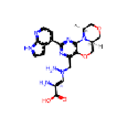 C[C@@H]1COC[C@H]2COc3c(CN(N)/C=C(\N)C(=O)O)nc(-c4ccnc5[nH]ccc45)nc3N21